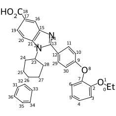 CCOc1ccccc1Oc1ccc(-c2nc3cc(C(=O)O)ccc3n2C2CCCCC2)cc1.c1ccccc1